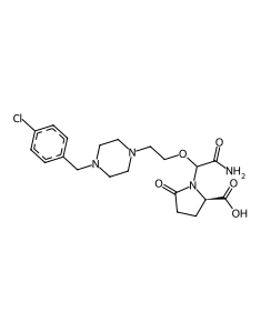 NC(=O)C(OCCN1CCN(Cc2ccc(Cl)cc2)CC1)N1C(=O)CC[C@@H]1C(=O)O